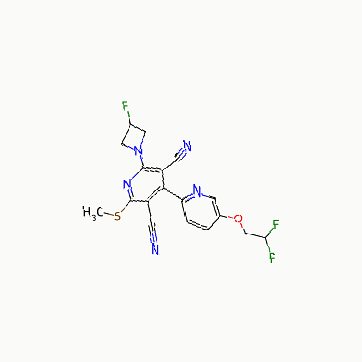 CSc1nc(N2CC(F)C2)c(C#N)c(-c2ccc(OCC(F)F)cn2)c1C#N